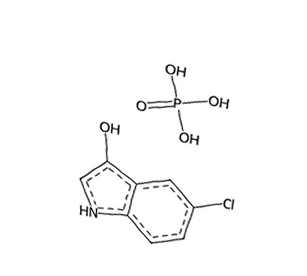 O=P(O)(O)O.Oc1c[nH]c2ccc(Cl)cc12